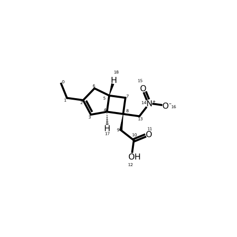 CCC1=C[C@H]2[C@H](C1)C[C@]2(CC(=O)O)C[N+](=O)[O-]